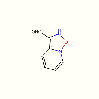 O=[C]C1=C2C=CC=CN2ON1